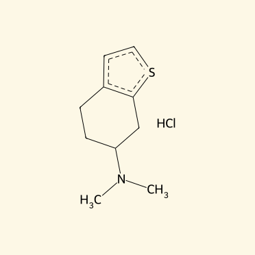 CN(C)C1CCc2ccsc2C1.Cl